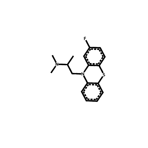 CC(CN1c2ccccc2Sc2ccc(F)cc21)N(C)C